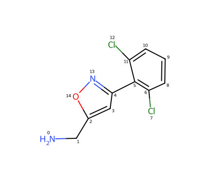 NCc1cc(-c2c(Cl)cccc2Cl)no1